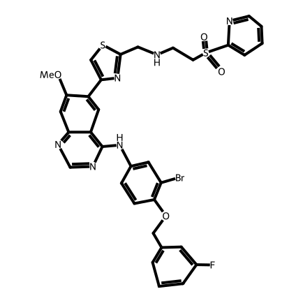 COc1cc2ncnc(Nc3ccc(OCc4cccc(F)c4)c(Br)c3)c2cc1-c1csc(CNCCS(=O)(=O)c2ccccn2)n1